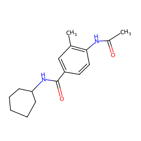 CC(=O)Nc1ccc(C(=O)NC2CCCCC2)cc1C